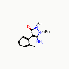 CCC(C)n1c(=O)c(-c2ccccc2C)c(N)n1C(C)(C)C